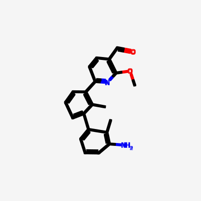 COc1nc(-c2cccc(-c3cccc(N)c3C)c2C)ccc1C=O